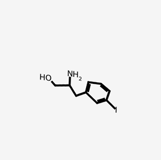 NC(CO)Cc1cccc(I)c1